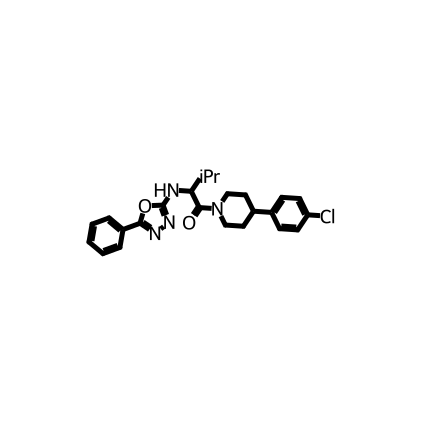 CC(C)C(Nc1nnc(-c2ccccc2)o1)C(=O)N1CCC(c2ccc(Cl)cc2)CC1